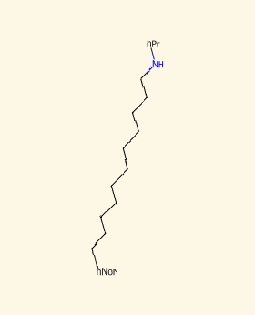 CCCCCCCCCCCCCCCCCCCCNCCC